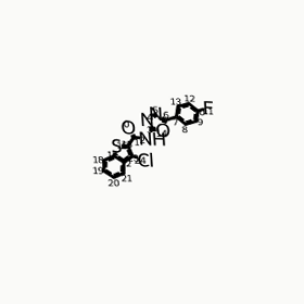 O=C(Nc1nnc(-c2ccc(F)cc2)o1)c1sc2ccccc2c1Cl